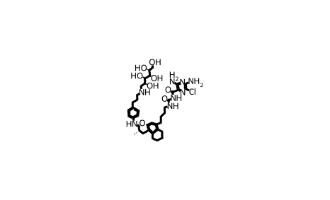 C[C@@H](Cc1ccc(CCCCNC(=O)NC(=O)c2nc(Cl)c(N)nc2N)c2c1CCCC2)C(=O)Nc1ccc(CCCNC[C@H](O)[C@@H](O)[C@H](O)[C@H](O)CO)cc1